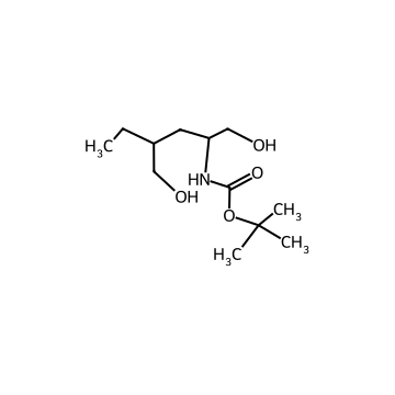 CCC(CO)CC(CO)NC(=O)OC(C)(C)C